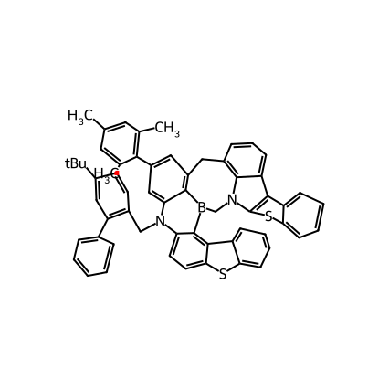 Cc1cc(C)c(-c2cc3c4c(c2)N(Cc2ccc(C(C)(C)C)cc2-c2ccccc2)c2ccc5sc6ccccc6c5c2B4Cn2c4sc5ccccc5c4c4cccc(c42)C3)c(C)c1